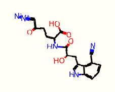 N#Cc1cccc2[nH]cc(CC(O)C(=O)NC(CCC(=O)C=[N+]=[N-])C(=O)O)c12